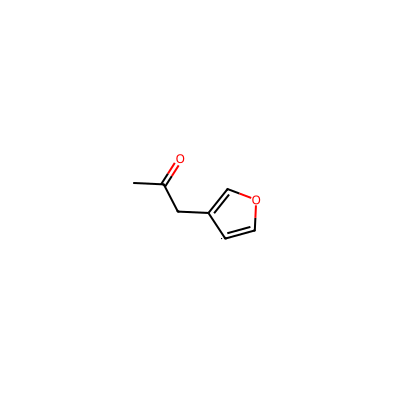 CC(=O)Cc1[c]coc1